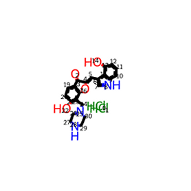 Cl.Cl.O=C1C(=Cc2c[nH]c3cccc(O)c23)Oc2c1ccc(O)c2CN1CCNCC1